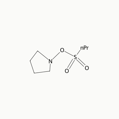 CCCS(=O)(=O)ON1CCCC1